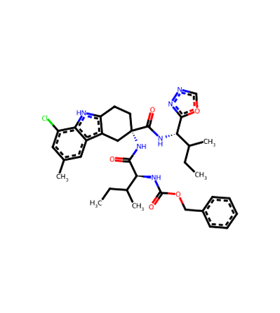 CCC(C)[C@H](NC(=O)OCc1ccccc1)C(=O)N[C@@]1(C(=O)N[C@H](c2nnco2)C(C)CC)CCc2[nH]c3c(Cl)cc(C)cc3c2C1